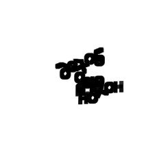 C=CC(=O)OCC(CC)(COC(=O)C=C)COC(=O)C=C.NC(CO)(CO)CO